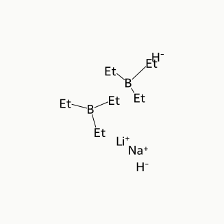 CCB(CC)CC.CCB(CC)CC.[H-].[H-].[Li+].[Na+]